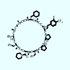 CC[C@H](C)[C@H]1CN(C)CCN(C)CCN(C)[C@@H](CC2CCCCC2)CN(C)CCN[C@@H](CCc2ccc(C(F)(F)F)c(F)c2)CN2CCC[C@H]2CNC2(CCCC2)CN(C)[C@@H](CC(C)C)CN(C)[C@H](C(=O)N2CCCCC2)CCN(C)[C@@H](CC(C)C)CN1